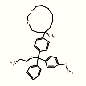 COc1ccc(C(SCCN)(c2ccccc2)c2ccc(C3(C)CCCCCCCCCCC3)cc2)cc1